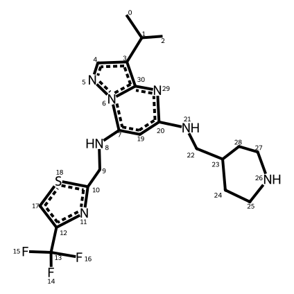 CC(C)c1cnn2c(NCc3nc(C(F)(F)F)cs3)cc(NCC3CCNCC3)nc12